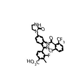 Cc1c(C(=O)O)ccc(-c2nn(C(=O)c3c(Cl)cccc3C(F)(F)F)c3cc(N4CCNC4=O)ccc23)c1F